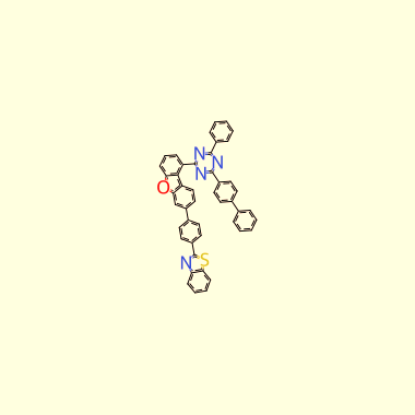 c1ccc(-c2ccc(-c3nc(-c4ccccc4)nc(-c4cccc5oc6cc(-c7ccc(-c8nc9ccccc9s8)cc7)ccc6c45)n3)cc2)cc1